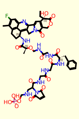 CC[C@@]1(O)C(=O)OCc2c1cc1n(c2=O)Cc2c-1nc1cc(F)c(C)c3c1c2[C@@H](NC(=O)[C@H](C)OCNC(=O)CNC(=O)[C@H](Cc1ccccc1)NC(=O)CNC(=O)CNC(=O)C(CNCOP(=O)(O)O)N1C(=O)C=CC1=O)CC3